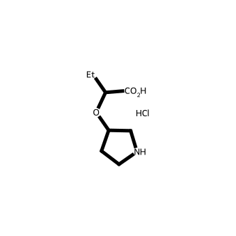 CCC(OC1CCNC1)C(=O)O.Cl